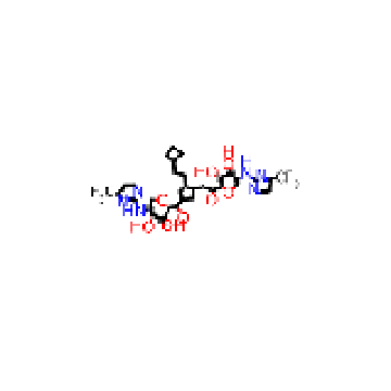 O=C(CC1CC(C(=O)C2OC[C@H](Nc3nccc(C(F)(F)F)n3)[C@@H](O)[C@H]2O)CC1CCC1CCC1)C1OC[C@H](Nc2nccc(C(F)(F)F)n2)[C@@H](O)[C@H]1O